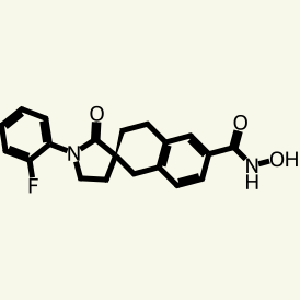 O=C(NO)c1ccc2c(c1)CC[C@]1(CCN(c3ccccc3F)C1=O)C2